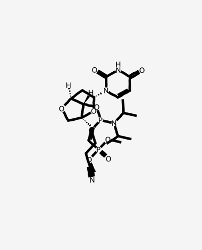 COP(=O)(/C=C/[C@@]12CO[C@@H](C[C@H](n3ccc(=O)[nH]c3=O)O1)[C@@H]2OP(OCCC#N)N(C(C)C)C(C)C)OC